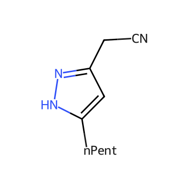 CCCCCc1cc(CC#N)n[nH]1